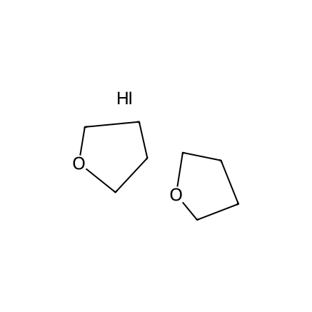 C1CCOC1.C1CCOC1.I